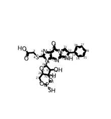 O=C(O)CSc1nc2c(=O)n3cc(-c4ccccc4)[nH]c3nc2n1[C@@H]1OC2CO[P@@](S)O[C@H]2C1O